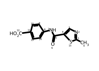 Cc1ncc(C(=O)Nc2ccc(C(=O)O)cc2)s1